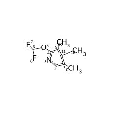 Cc1cnc(OC(F)F)c(C)c1C